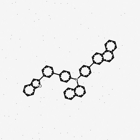 c1cc(-c2ccc(N(c3ccc(-c4ccc5c(ccc6ccccc65)c4)cc3)c3cccc4ccccc34)cc2)cc(-c2cc3ccccc3o2)c1